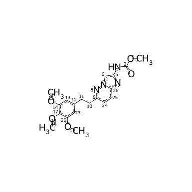 COC(=O)Nc1cn2nc(CCc3cc(OC)c(OC)c(OC)c3)ccc2n1